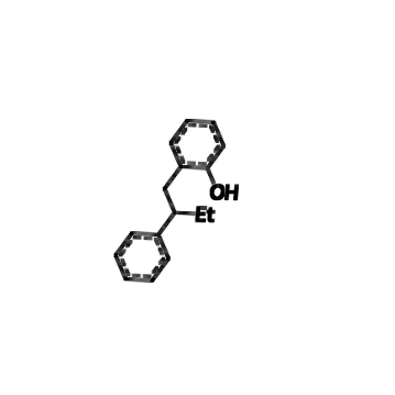 CCC(Cc1ccccc1O)c1ccccc1